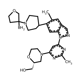 BC1(N2CCC(c3cc4c(cnn4-c4cc(N5CCO[C@@H](CO)C5)nc(C)n4)cc3C)CC2)CCOC1